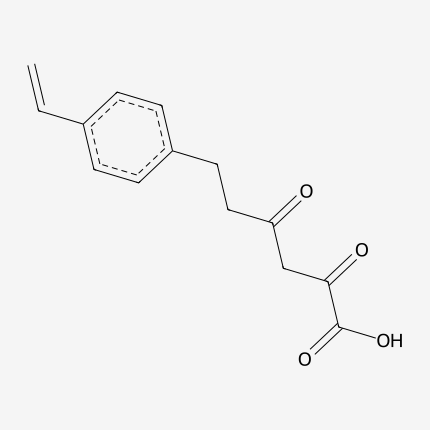 C=Cc1ccc(CCC(=O)CC(=O)C(=O)O)cc1